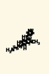 CN1CC2=C(NN=C(CNCCN)N2)N(Cc2cccnc2)C1